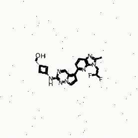 Cc1nc2ccc(-c3ccn4nc(N[C@H]5C[C@@H](CO)C5)ncc34)nc2n1CC(F)F